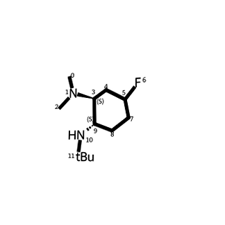 CN(C)[C@H]1CC(F)CC[C@@H]1NC(C)(C)C